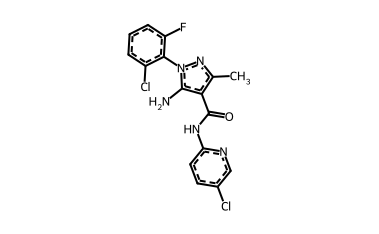 Cc1nn(-c2c(F)cccc2Cl)c(N)c1C(=O)Nc1ccc(Cl)cn1